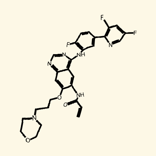 C=CC(=O)Nc1cc2c(Nc3cc(-c4ncc(F)cc4F)ccc3F)ncnc2cc1OCCCN1CCOCC1